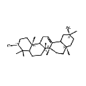 CC(=O)[C@@]1(C)CC[C@]2(C)CC[C@@]3(C)C(=CCC4[C@@]5(C)CC[C@H](Cl)C(C)(C)C5CC[C@]43C)C2C1